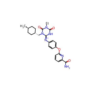 CCn1c(=O)[nH]/c(=N\c2ccc(Oc3cccc(C(N)=O)n3)cc2)n(C[C@H]2CC[C@H](C)CC2)c1=O